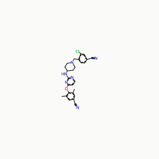 Cc1cc(C#N)cc(C)c1Oc1ccnc(NC2CCN(Cc3ccc(C#N)cc3Cl)CC2)n1